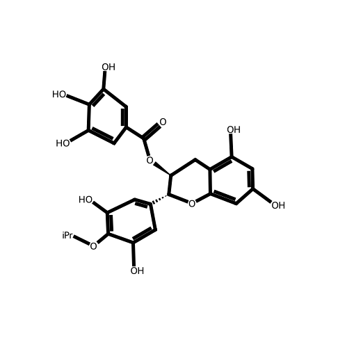 CC(C)Oc1c(O)cc([C@H]2Oc3cc(O)cc(O)c3C[C@@H]2OC(=O)c2cc(O)c(O)c(O)c2)cc1O